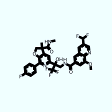 CNC(=O)C1(C)COc2c1cc(C(O)(CNC(=O)c1cc(OC)c3ncc(C(F)F)cc3c1)C(F)(F)F)nc2-c1ccc(F)cc1